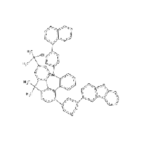 CC(C)(C)c1ccc2c(c1)C(C)(C)c1ccc(-c3cccc(-c4ccc5oc6ccccc6c5c4)c3)c(-c3ccccc3Nc3ccc(-c4cccc5ccccc45)cc3)c1-2